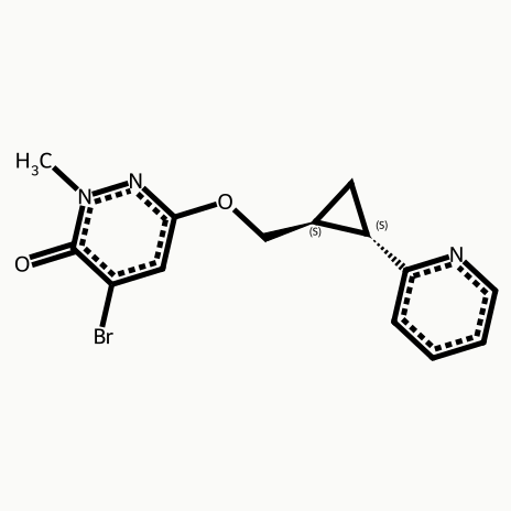 Cn1nc(OC[C@H]2C[C@@H]2c2ccccn2)cc(Br)c1=O